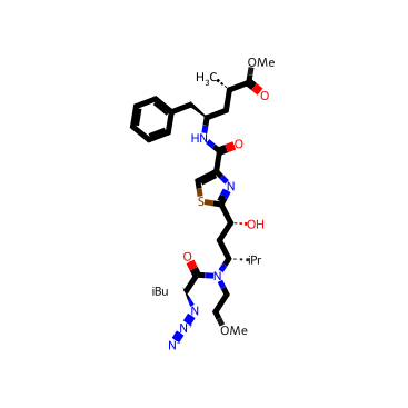 CC[C@H](C)[C@H](N=[N+]=[N-])C(=O)N(CCOC)[C@H](C[C@@H](O)c1nc(C(=O)N[C@@H](Cc2ccccc2)C[C@H](C)C(=O)OC)cs1)C(C)C